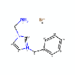 NCn1cc[n+](Cc2ccccc2)c1.[Br-]